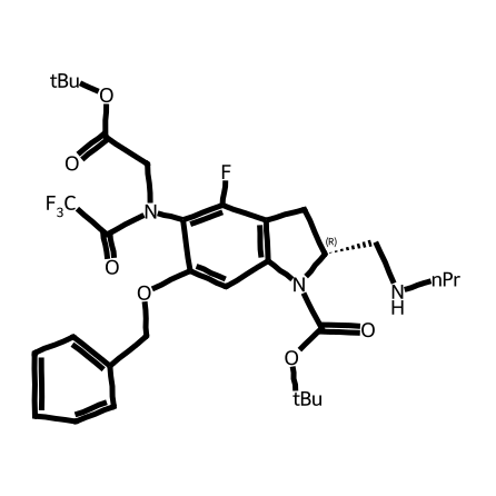 CCCNC[C@H]1Cc2c(cc(OCc3ccccc3)c(N(CC(=O)OC(C)(C)C)C(=O)C(F)(F)F)c2F)N1C(=O)OC(C)(C)C